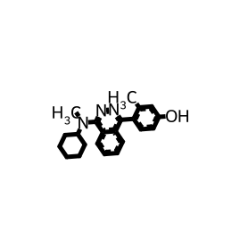 Cc1cc(O)ccc1-c1nnc(N(C)C2CCCCC2)c2ccccc12